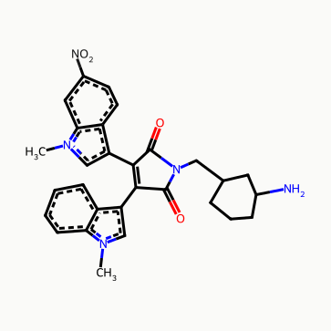 Cn1cc(C2=C(c3cn(C)c4cc([N+](=O)[O-])ccc34)C(=O)N(CC3CCCC(N)C3)C2=O)c2ccccc21